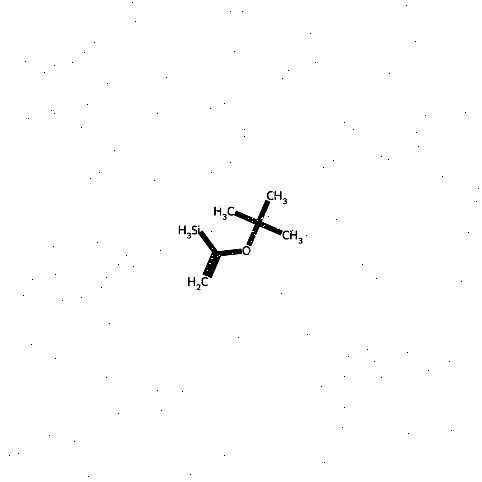 C=C([SiH3])OC(C)(C)C